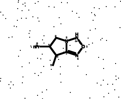 CCCC1CN2NON=C2C1C